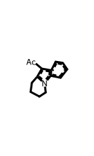 CC(=O)c1c2n(c3ccccc13)CCCC2